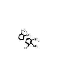 Nc1c(O)cccc1[N+](=O)[O-].Nc1ccccc1[N+](=O)[O-]